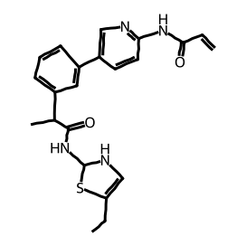 C=CC(=O)Nc1ccc(-c2cccc(C(C)C(=O)NC3NC=C(CC)S3)c2)cn1